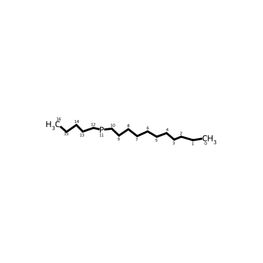 CCCCCCCCCCC[P]CCCCC